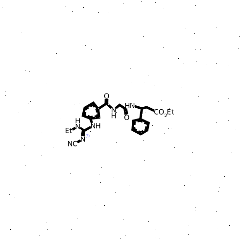 CCN/C(=N\C#N)Nc1cccc(C(=O)NCC(=O)NC(CC(=O)OCC)c2ccccc2)c1